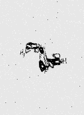 CN1CCN[C@@H](c2ccc(Nc3nc(-c4c(F)cccc4F)nc4c3C(=O)NC4)cc2)C1=O